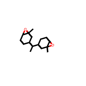 CC(C1CCC2OC2(C)C1)C1CCC2OC2(C)C1